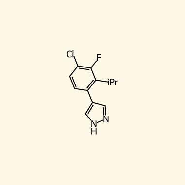 CC(C)c1c(-c2cn[nH]c2)ccc(Cl)c1F